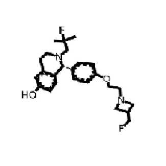 CC(C)(F)CN1CCc2cc(O)ccc2[C@H]1c1ccc(OCCN2CC(CF)C2)cc1